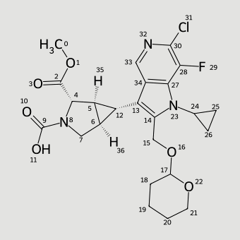 COC(=O)[C@@H]1[C@@H]2[C@H](CN1C(=O)O)[C@H]2c1c(COC2CCCCO2)n(C2CC2)c2c(F)c(Cl)ncc12